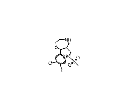 CS(=O)(=O)NCC1CNCCOC1c1ccc(F)c(Cl)c1